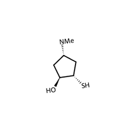 CN[C@H]1C[C@H](O)[C@@H](S)C1